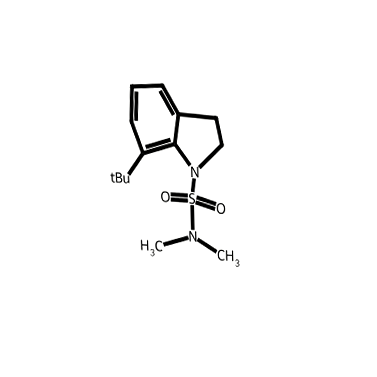 CN(C)S(=O)(=O)N1CCc2cccc(C(C)(C)C)c21